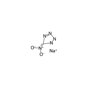 [Na+].[O-][N+]([O-])=C1N=NN=N1